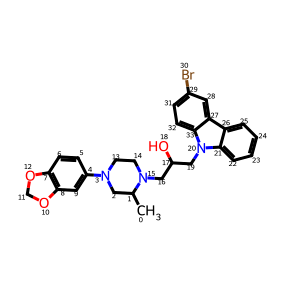 CC1CN(c2ccc3c(c2)OCO3)CCN1CC(O)Cn1c2ccccc2c2cc(Br)ccc21